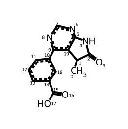 CC1C(=O)Nc2ncnc(-c3cccc(C(=O)O)c3)c21